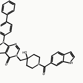 O=C(c1ccc2cc[nH]c2c1)N1CCC(O)(Cn2cnc3c(cnn3-c3ccc(-c4ccccc4)cc3)c2=O)CC1